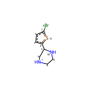 Brc1ccc(C2CNCCN2)s1